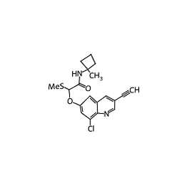 C#Cc1cnc2c(Cl)cc(OC(SC)C(=O)NC3(C)CCC3)cc2c1